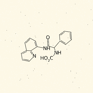 O=C(O)NC(C(=O)Nc1cccc2cccnc12)c1ccccc1